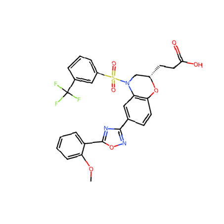 COc1ccccc1-c1nc(-c2ccc3c(c2)N(S(=O)(=O)c2cccc(C(F)(F)F)c2)C[C@H](CCC(=O)O)O3)no1